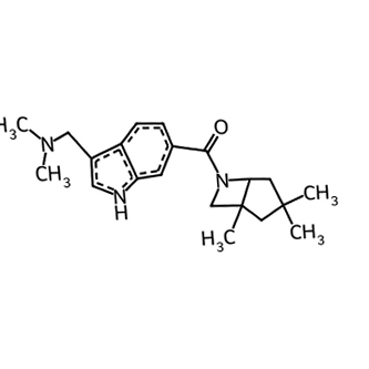 CN(C)Cc1c[nH]c2cc(C(=O)N3CC4(C)CC(C)(C)CC34)ccc12